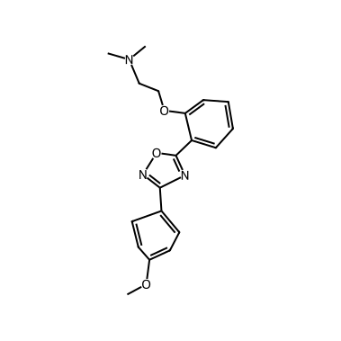 COc1ccc(-c2noc(-c3ccccc3OCCN(C)C)n2)cc1